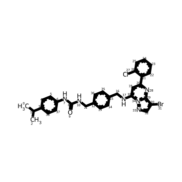 CC(C)c1ccc(NC(=O)NCc2ccc(CNc3cc(-c4ccccc4Cl)nc4c(Br)cnn34)cc2)cc1